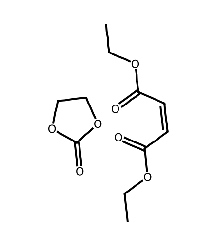 CCOC(=O)/C=C\C(=O)OCC.O=C1OCCO1